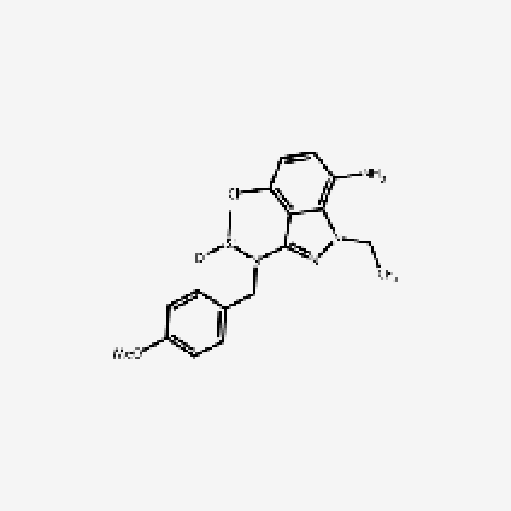 COc1ccc(CN(c2nn(CC(F)(F)F)c3c(N)ccc(Cl)c23)[S+](C)[O-])cc1